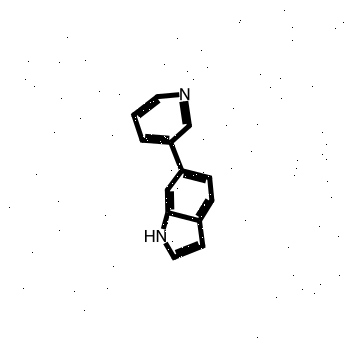 c1cncc(-c2ccc3cc[nH]c3c2)c1